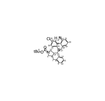 CC(C)(C)OC(=O)N1CC(Cc2ccccc2)C(CN(Cc2cccc(N)c2)c2ccc(Cl)cc2)C1